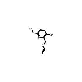 O=COCc1nc(CBr)ccc1Br